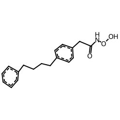 O=C(Cc1ccc(CCCCc2ccccc2)cc1)NOO